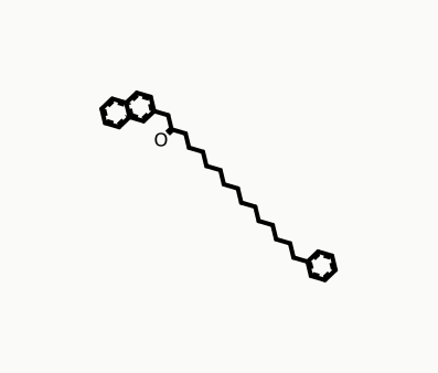 O=C(CCCCCCCCCCCCCCc1ccccc1)Cc1ccc2ccccc2c1